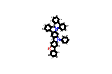 c1ccc(-n2c3cc4c(cc3c3cc5oc6ccccc6c5cc32)-c2ccccc2B2c3ccccc3-c3ccccc3N24)cc1